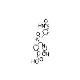 CN(C(=O)Cc1ccc2sc(=O)[nH]c2c1)C(CN1CC[C@@H](O)C1)c1cccc(OCC(=O)O)c1